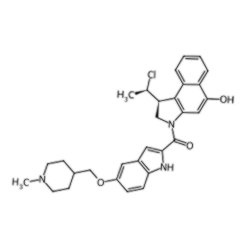 C[C@@H](Cl)[C@@H]1CN(C(=O)c2cc3cc(OCC4CCN(C)CC4)ccc3[nH]2)c2cc(O)c3ccccc3c21